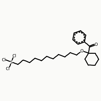 O=C(c1ccccc1)C1(OCCCCCCCCCCCS(Cl)(Cl)Cl)CCCCC1